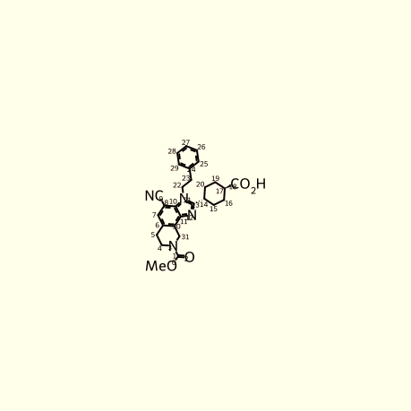 COC(=O)N1CCc2cc(C#N)c3c(nc([C@H]4CC[C@H](C(=O)O)CC4)n3CCc3ccccc3)c2C1